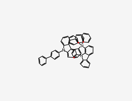 c1ccc(-c2ccc(-n3c4ccc(-n5c6ccccc6c6cccc([Si](c7ccccc7)(c7ccccc7)c7ccccc7)c65)cc4c4c(-c5ccccc5)cccc43)cc2)cc1